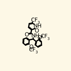 O=C(NC(c1ccccc1OC(F)(F)F)c1ccccc1OC(F)(F)F)c1ccc(C(F)(F)F)[nH]c1=O